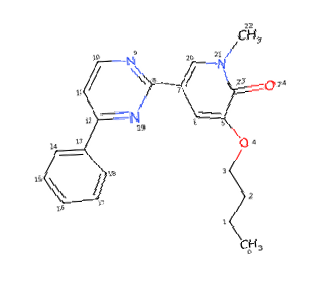 CCCCOc1cc(-c2nccc(-c3ccccc3)n2)cn(C)c1=O